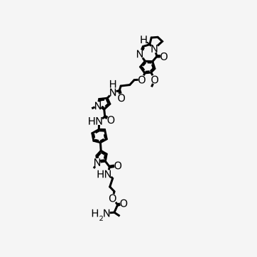 COc1cc2c(cc1OCCCC(=O)Nc1cc(C(=O)Nc3ccc(-c4cc(C(=O)NCCCOC(=O)C(C)N)n(C)c4)cc3)n(C)c1)N=C[C@@H]1CCCN1C2=O